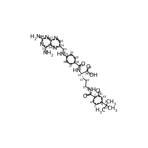 CC(C)(C)c1ccc(C(=O)NCCC[C@H](NC(=O)c2ccc(NCc3cnc4nc(N)nc(N)c4n3)cc2)C(=O)O)c(Cl)c1